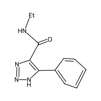 CCNC(=O)c1nn[nH]c1-c1ccccc1